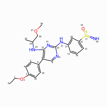 CCOc1ccc(-c2cnc(Nc3cccc([SH](=N)=O)c3)nc2NC(C)COC)cc1